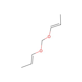 CC=COCOC=CC